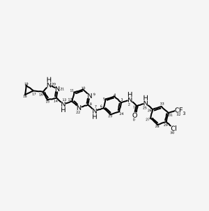 O=C(Nc1ccc(Nc2nccc(Nc3cc(C4CC4)[nH]n3)n2)cc1)Nc1ccc(Cl)c(C(F)(F)F)c1